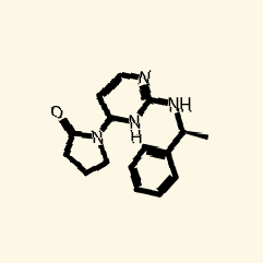 C[C@H](NC1=NC=CC(N2CCCC2=O)N1)c1ccccc1